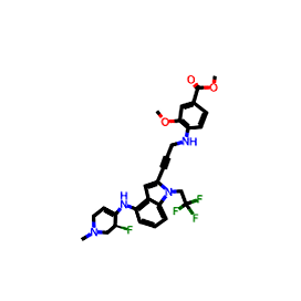 COC(=O)c1ccc(NCC#Cc2cc3c(NC4=CCN(C)C[C@@H]4F)cccc3n2CC(F)(F)F)c(OC)c1